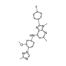 COc1cc(Nc2cc(C)nc3c2nc(-c2ccc(F)cc2)n3C)ccc1-n1cnc(C)n1